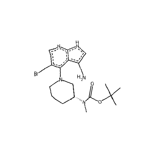 CN(C(=O)OC(C)(C)C)[C@@H]1CCCN(c2c(Br)cnc3[nH]cc(N)c23)C1